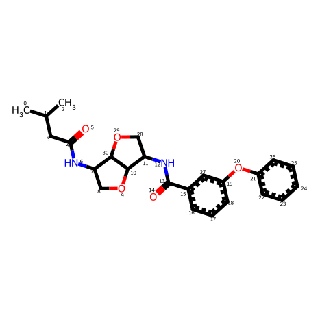 CC(C)CC(=O)NC1COC2C(NC(=O)c3cccc(Oc4ccccc4)c3)COC12